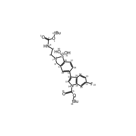 CC(C)(C)OC(=O)NCCN1Cc2cc(-c3cn(C(=O)OC(C)(C)C)c4cc(F)ccc34)ccc2S1(O)O